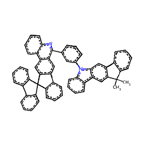 CC1(C)c2ccccc2-c2cc3c(cc21)c1ccccc1n3-c1cccc(-c2nc3ccccc3c3cc4c(cc23)-c2ccccc2C42c3ccccc3-c3ccccc32)c1